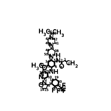 C=CC(=O)Nc1cc(Nc2cc(N3OCCC3c3cccc(C(F)(F)F)c3F)ncn2)c(OC)cc1N1CCC(N2CCN(C(C)C)CC2)CC1